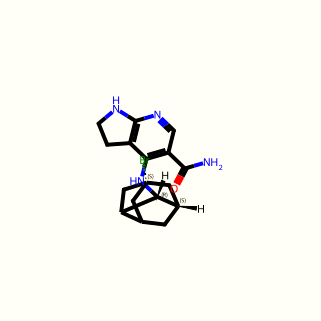 NC(=O)c1cnc2c(c1N[C@H]1C3C[C@]4(Br)CC3C[C@H]1C4)CCN2